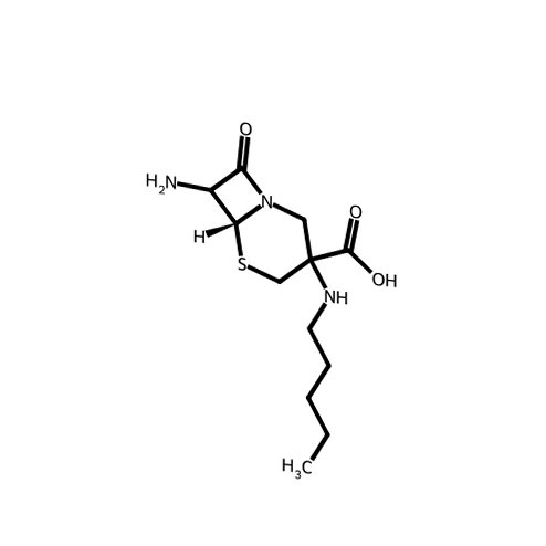 CCCCCNC1(C(=O)O)CS[C@@H]2C(N)C(=O)N2C1